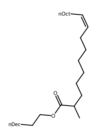 CCCCCCCC/C=C\CCCCCCC(C)C(=O)OCCCCCCCCCCCC